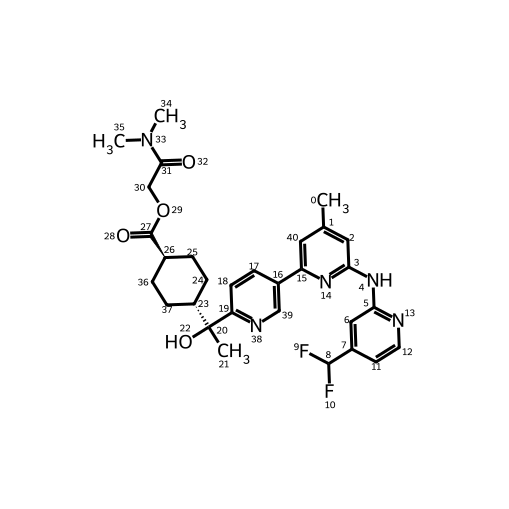 Cc1cc(Nc2cc(C(F)F)ccn2)nc(-c2ccc(C(C)(O)[C@H]3CC[C@H](C(=O)OCC(=O)N(C)C)CC3)nc2)c1